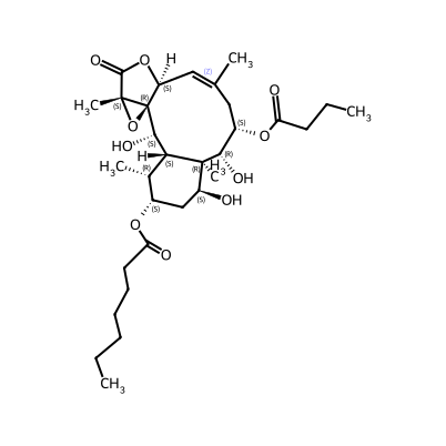 CCCCCCC(=O)O[C@H]1C[C@H](O)[C@@]2(C)[C@H]([C@H]1C)[C@H](O)[C@]13O[C@]1(C)C(=O)O[C@H]3/C=C(/C)C[C@H](OC(=O)CCC)[C@@H]2O